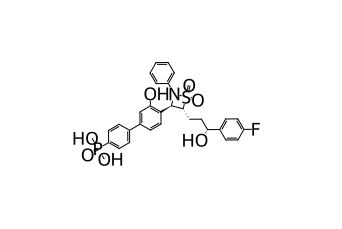 O=P(O)(O)c1ccc(-c2ccc([C@@H]3[C@@H](CC[C@@H](O)c4ccc(F)cc4)S(=O)(=O)N3c3ccccc3)c(O)c2)cc1